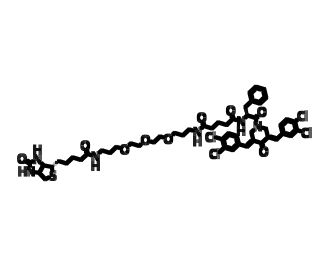 O=C(CCCC[C@@H]1SCC2NC(=O)NC21)NCCCOCCOCCOCCCNC(=O)CCCC(=O)N[C@@H](Cc1ccccc1)C(=O)N1C/C(=C\c2ccc(Cl)c(Cl)c2)C(=O)/C(=C/c2ccc(Cl)c(Cl)c2)C1